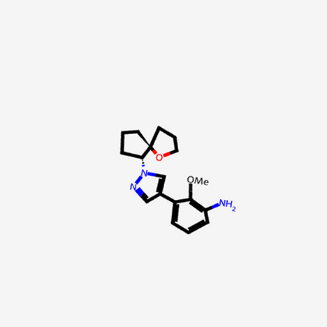 COc1c(N)cccc1-c1cnn([C@@H]2CCC[C@]23CCCO3)c1